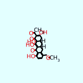 COCc1ccc(O)c2c1C[C@H]1C[C@H]3CC(O)=C(C(C)=O)C(=O)[C@@]3(O)C(O)=C1C2=O